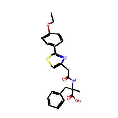 CCOc1ccc(-c2nc(CC(=O)NC(C)(Cc3ccccc3)C(=O)O)cs2)cc1